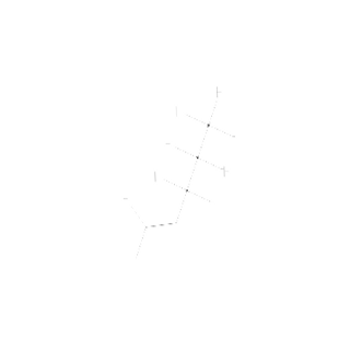 CC(F)CC(F)(F)C(F)(F)C(F)(F)F